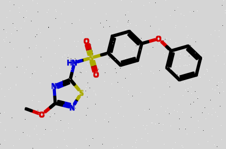 COc1nsc(NS(=O)(=O)c2ccc(Oc3ccccc3)cc2)n1